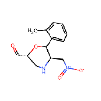 Cc1ccccc1C1O[C@@H](C=O)CN[C@@H]1C[N+](=O)[O-]